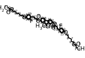 C=CC(=O)OCCCCCCOc1ccc(C=CC(=O)Oc2ccc3c(c2)C(C)(C)c2cc(OC(=O)C=Cc4ccc(OCCCCCCOC(=O)C=C)cc4F)ccc2-3)c(F)c1